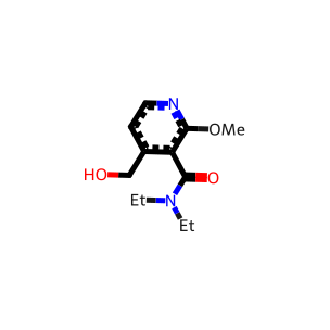 CCN(CC)C(=O)c1c(CO)ccnc1OC